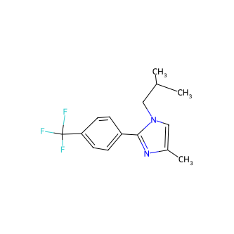 Cc1cn(CC(C)C)c(-c2ccc(C(F)(F)F)cc2)n1